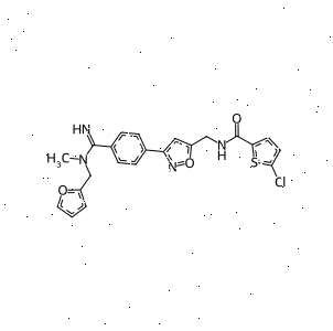 CN(Cc1ccco1)C(=N)c1ccc(-c2cc(CNC(=O)c3ccc(Cl)s3)on2)cc1